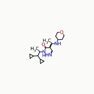 C/C(NC1CCOCC1)=C(/C=N)C(=O)NC(C)C(C1CC1)C1CC1